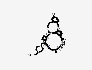 CCOC(=O)CN1CCN(CC2(OC)/C=C/CC(C)[C@@H](C)S(=O)(=O)NC(=O)c3ccc4c(c3)N(CCCCc3cc(Cl)ccc3CO4)C[C@@H]3CC[C@H]32)CC1